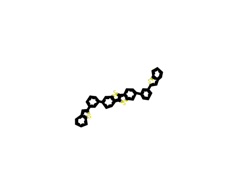 c1cc(-c2ccc3c(c2)sc2c4ccc(-c5cccc(-c6cc7ccccc7s6)c5)cc4sc32)cc(-c2cc3ccccc3s2)c1